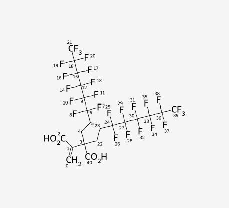 C=C(C(=O)O)C(CCC(F)(F)C(F)(F)C(F)(F)C(F)(F)C(F)(F)C(F)(F)F)(CCC(F)(F)C(F)(F)C(F)(F)C(F)(F)C(F)(F)C(F)(F)F)C(=O)O